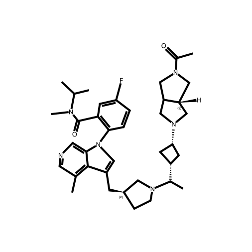 CC(=O)N1CC2CN([C@H]3C[C@@H](C(C)N4CC[C@@H](Cc5cn(-c6ccc(F)cc6C(=O)N(C)C(C)C)c6cncc(C)c56)C4)C3)C[C@H]2C1